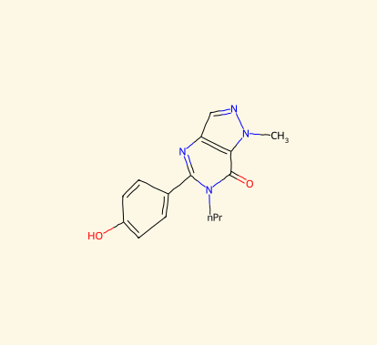 CCCn1c(-c2ccc(O)cc2)nc2cnn(C)c2c1=O